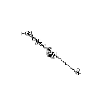 CC(C)(C)OC(=O)CCCCCCCCCCCCCCCCCCC(=O)N[C@@H](CCC(=O)NCCOCCOCC(=O)NCCOCCOCC(=O)O)C(=O)OC(C)(C)C